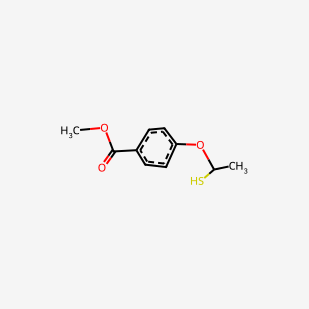 COC(=O)c1ccc(OC(C)S)cc1